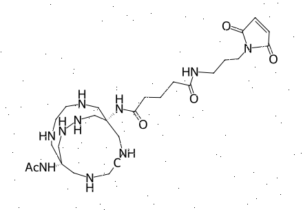 CC(=O)N[C@]12CNCCNC[C@](NC(=O)CCCC(=O)NCCCN3C(=O)C=CC3=O)(CNCCNC1)CNNC2